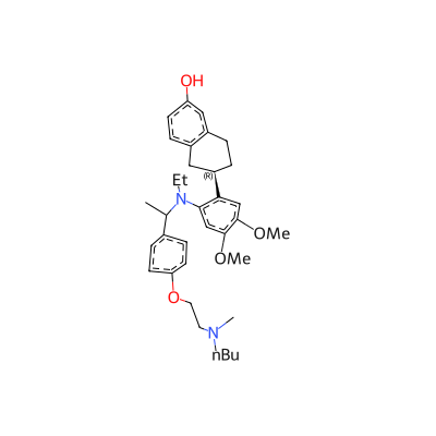 CCCCN(C)CCOc1ccc(C(C)N(CC)c2cc(OC)c(OC)cc2[C@@H]2CCc3cc(O)ccc3C2)cc1